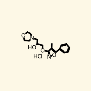 Cc1c(OCC(O)CN2CCOCC2)noc1-c1ccccc1.Cl